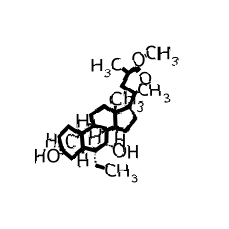 CC[C@H]1[C@@H](O)[C@@H]2[C@H](CC[C@]3(C)[C@@H]([C@H](C)CC(C)C(=O)OC)CC[C@@H]23)[C@@]2(C)CC[C@@H](O)C[C@@H]12